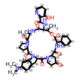 CC1NC(=O)C(NC(=O)c2ncccc2O)C(C)OC(=O)C(c2ccccc2)NC(=O)C2CC(=O)CCN2C(=O)C(Cc2ccc(N(C)C)cc2)N(C)C(=O)C2CCCN2C1=O